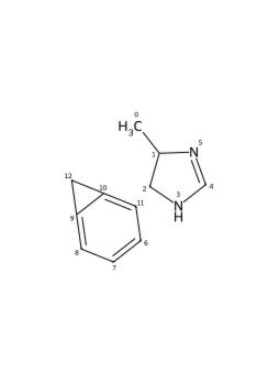 CC1CNC=N1.c1ccc2c(c1)C2